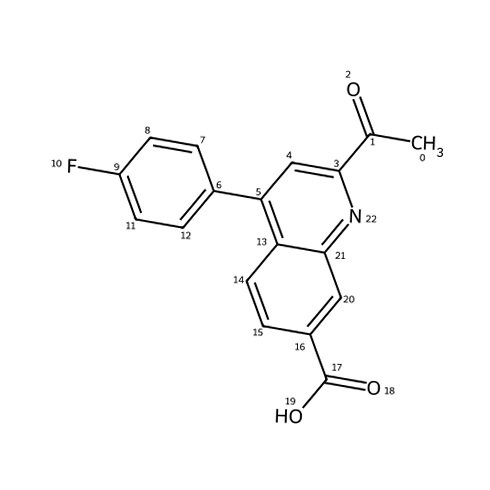 CC(=O)c1cc(-c2ccc(F)cc2)c2ccc(C(=O)O)cc2n1